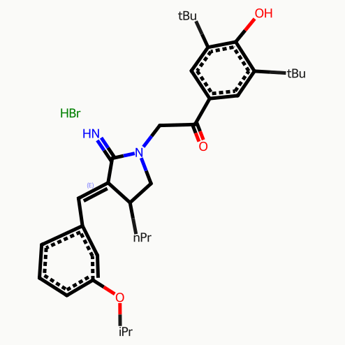 Br.CCCC1CN(CC(=O)c2cc(C(C)(C)C)c(O)c(C(C)(C)C)c2)C(=N)/C1=C/c1cccc(OC(C)C)c1